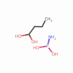 CCCC(O)O.NP(O)O